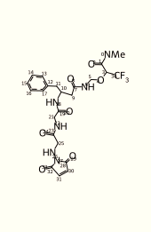 CNC(=O)C(OCNC(=O)CC(Cc1ccccc1)NC(=O)CNC(=O)CNN1C(=O)C=CC1=O)C(F)(F)F